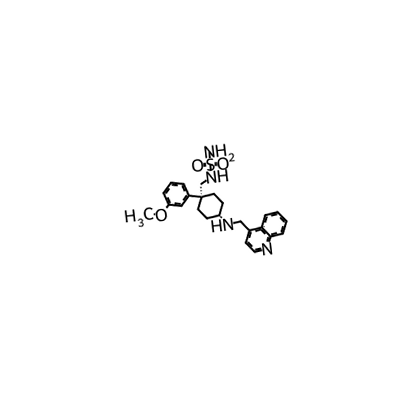 COc1cccc([C@]2(CNS(N)(=O)=O)CC[C@@H](NCc3ccnc4ccccc34)CC2)c1